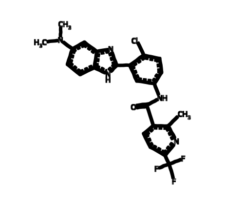 Cc1nc(C(F)(F)F)ccc1C(=O)Nc1ccc(Cl)c(-c2nc3cc(N(C)C)ccc3[nH]2)c1